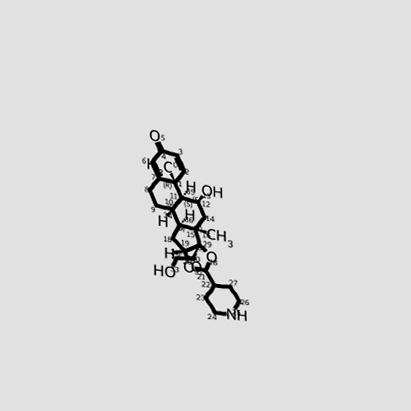 C[C@]12C=CC(=O)C=C1CC[C@@H]1[C@@H]2[C@@H](O)C[C@@]2(C)[C@H]1C[C@H]1OC(C3CCNCC3)O[C@]12C(=O)CO